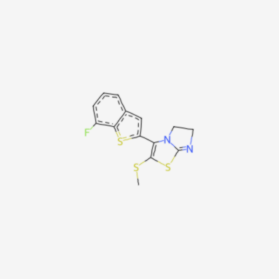 CSC1=C(c2cc3cccc(F)c3s2)N2CCN=C2S1